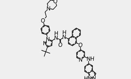 CC(C)(C)c1cc(NC(=O)Nc2ccc(Oc3ccnc(Nc4ccc5[nH]ncc5c4)c3)c3ccccc23)n(-c2ccc(OCCN3CCOCC3)cc2)n1